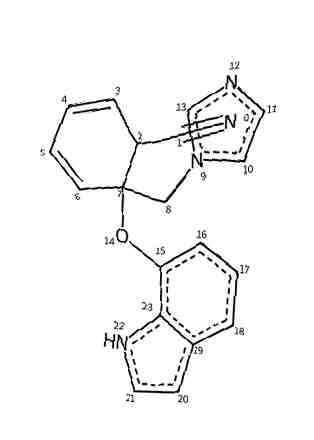 N#CC1C=CC=CC1(Cn1ccnc1)Oc1cccc2cc[nH]c12